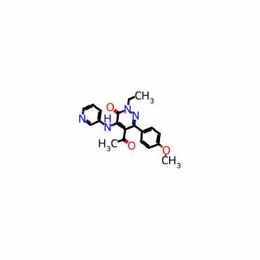 CCn1nc(-c2ccc(OC)cc2)c(C(C)=O)c(Nc2cccnc2)c1=O